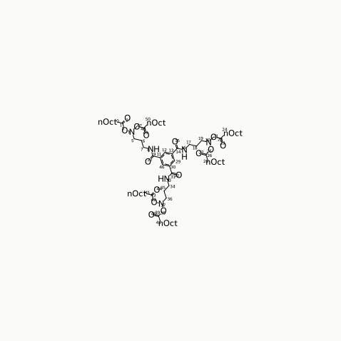 CCCCCCCCC(=O)ON(CCCNC(=O)c1cc(C(=O)NCCCN(OC(=O)CCCCCCCC)OC(=O)CCCCCCCC)cc(C(=O)NCCCN(OC(=O)CCCCCCCC)OC(=O)CCCCCCCC)c1)OC(=O)CCCCCCCC